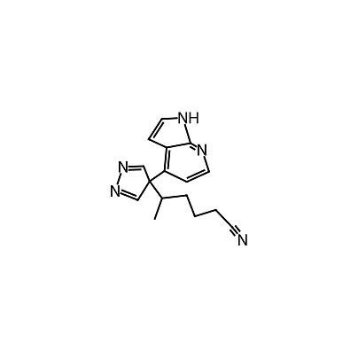 CC(CCCC#N)C1(c2ccnc3[nH]ccc23)C=NN=C1